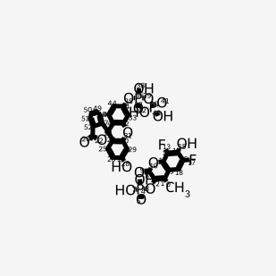 Cc1c(OP(=O)(O)O)c(=O)oc2c(F)c(O)c(F)cc12.O=C1OC2(c3ccc(O)cc3Oc3cc(OP(=O)(O)OP(=O)(O)O)ccc32)c2ccccc21